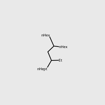 CCCCCCCC(CC)CC(CCCCCC)CCCCCC